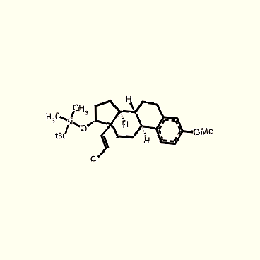 COc1ccc2c(c1)CC[C@@H]1[C@@H]2CCC2(C=CCl)[C@@H](O[Si](C)(C)C(C)(C)C)CC[C@@H]12